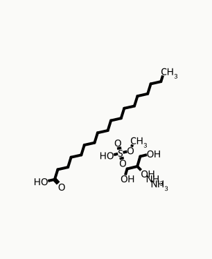 CCCCCCCCCCCCCCCCCC(=O)O.COS(=O)(=O)O.N.N.OCC(O)CO